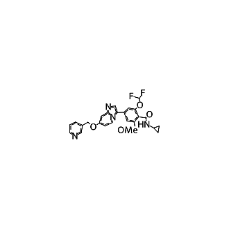 COc1cc(-c2cnc3cc(OCc4cccnc4)ccn23)cc(OC(F)F)c1C(=O)NC1CC1